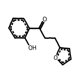 O=C(CCc1ccco1)c1ccccc1O